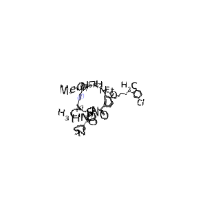 CCN1C[C@@H]2CC[C@H]2[C@@H](OC)/C=C/C[C@H](C)CS(=O)(NC(=O)c2cnsc2)=NC(=O)c2ccc(OCCCCc3cc(Cl)ccc3C)c1c2